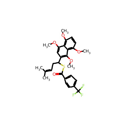 COc1ccc(OC)c2c(OC)c(C(CC=C(C)C)SC(=O)c3ccc(C(F)(F)F)cc3)cc(OC)c12